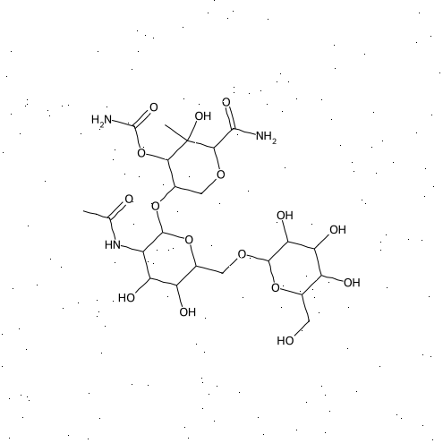 CC(=O)NC1C(OC2COC(C(N)=O)C(C)(O)C2OC(N)=O)OC(COC2OC(CO)C(O)C(O)C2O)C(O)C1O